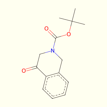 CC(C)(C)OC(=O)N1CC(=O)c2ccccc2C1